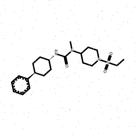 CCS(=O)(=O)N1CCC(N(C)C(=O)N[C@H]2CC[C@H](c3ccccc3)CC2)CC1